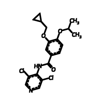 CC(C)Oc1ccc(C(=O)Nc2c(Cl)cncc2Cl)cc1OCC1CC1